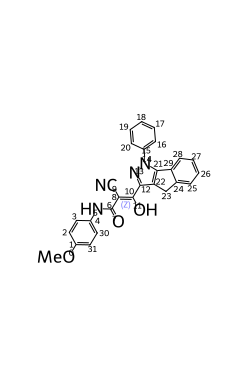 COc1ccc(NC(=O)/C(C#N)=C(\O)c2nn(-c3ccccc3)c3c2Cc2ccccc2-3)cc1